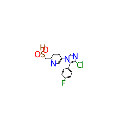 O=[SH](=O)Cc1ccc(-n2cnc(Cl)c2-c2ccc(F)cc2)cn1